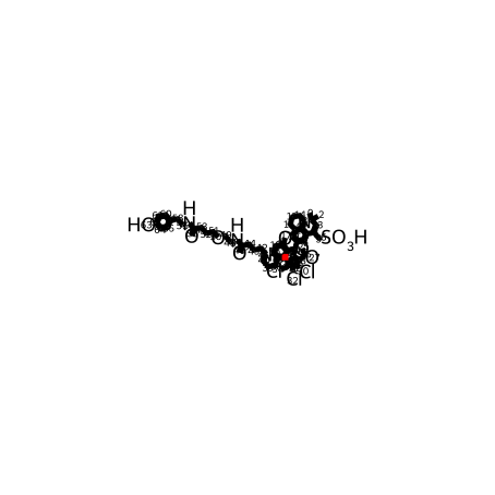 CC1(C)C=C(CS(=O)(=O)O)c2cc3c(c4c2N1CCC4)Oc1cc2c(cc1C31OC(=O)c3c(Cl)c(Cl)c(Cl)c(Cl)c31)CCCN2CCCC(=O)NCCOCCCC(=O)NCCc1ccc(O)cc1